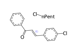 CCCCCCl.O=C(/C=C/c1ccc(Cl)cc1)c1ccccc1